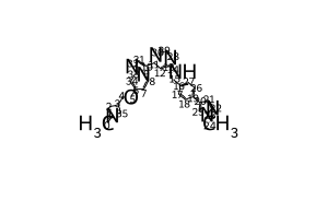 CN1CC(COc2ccn3c(-c4cc(NCc5ccc(-c6cnn(C)c6)cc5)ncn4)cnc3c2)C1